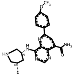 NC(=O)c1cc(-c2ccc(OC(F)(F)F)cc2)nc2c(N[C@H]3CNC[C@@H](F)C3)ncnc12